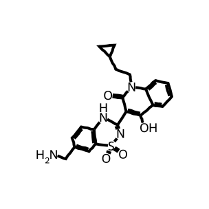 NCc1ccc2c(c1)S(=O)(=O)N=C(c1c(O)c3ccccc3n(CCC3CC3)c1=O)N2